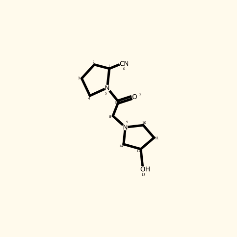 N#CC1CCCN1C(=O)CN1CCC(O)C1